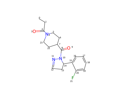 CCC(=O)N1CCC(C(=O)N2N=CCC2c2ccccc2F)CC1